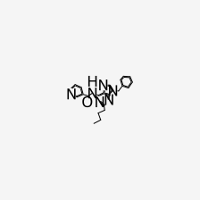 CCCCc1nc(NC(=O)c2cccnc2)c2ncn(Cc3ccccc3)c2n1